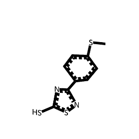 CSc1ccc(-c2nsc(S)n2)cc1